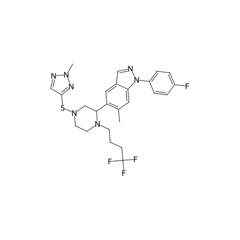 Cc1cc2c(cnn2-c2ccc(F)cc2)cc1C1CN(Sc2cnn(C)n2)CCN1CCCC(F)(F)F